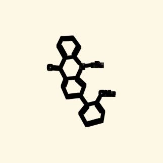 CCCCn1c2ccccc2c(=O)c2ccc(-c3ccccc3OC)cc21